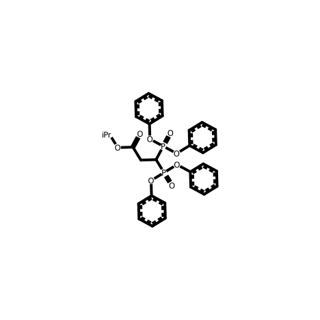 CC(C)OC(=O)CC(P(=O)(Oc1ccccc1)Oc1ccccc1)P(=O)(Oc1ccccc1)Oc1ccccc1